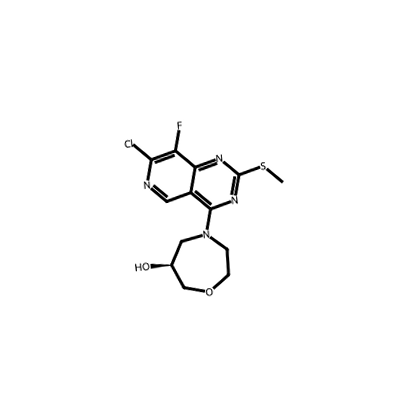 CSc1nc(N2CCOC[C@@H](O)C2)c2cnc(Cl)c(F)c2n1